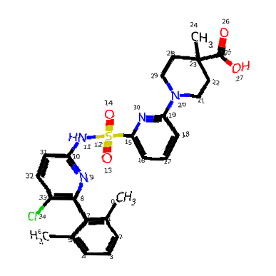 Cc1cccc(C)c1-c1nc(NS(=O)(=O)c2cccc(N3CCC(C)(C(=O)O)CC3)n2)ccc1Cl